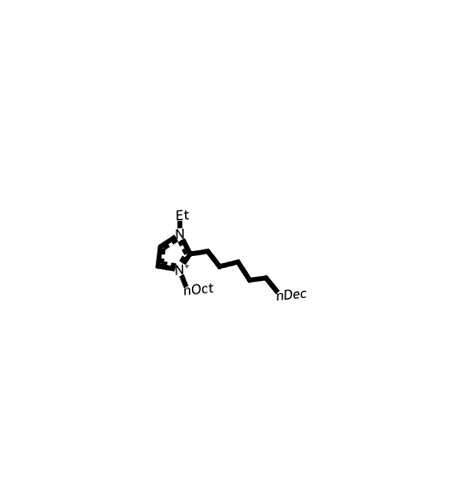 CCCCCCCCCCCCCCCc1n(CC)cc[n+]1CCCCCCCC